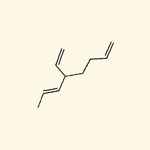 C=CCCC(C=C)/C=C/C